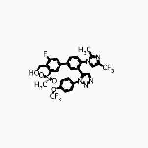 Cc1nc(C(F)(F)F)cn1-c1ccc(-c2cc(F)c(CO)c(S(C)(=O)=O)c2)cc1-c1cnnn1-c1ccc(OC(F)(F)F)cc1